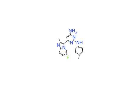 Cc1ccc(Nc2nc(N)cc(-c3c(C)nc4ccc(F)cn34)n2)cc1